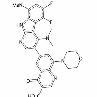 CNc1cc(F)c(F)c2c1[nH]c1ncc(-c3cc(N4CCOCC4)c4ncc(C(=O)O)c(=O)n4c3)c(N(C)C)c12